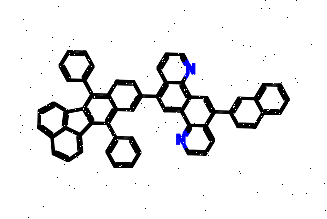 c1ccc(-c2c3c(c(-c4ccccc4)c4cc(-c5cc6c(cc(-c7ccc8ccccc8c7)c7cccnc76)c6ncccc56)ccc24)-c2cccc4cccc-3c24)cc1